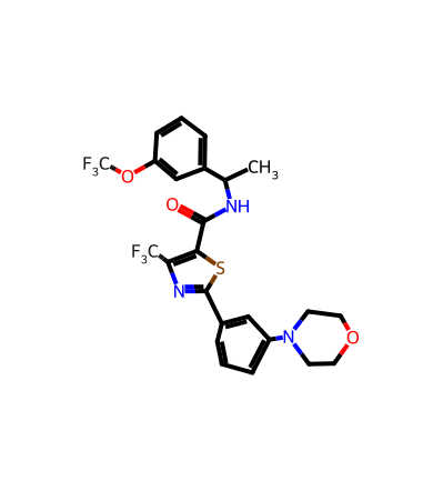 CC(NC(=O)c1sc(-c2cccc(N3CCOCC3)c2)nc1C(F)(F)F)c1cccc(OC(F)(F)F)c1